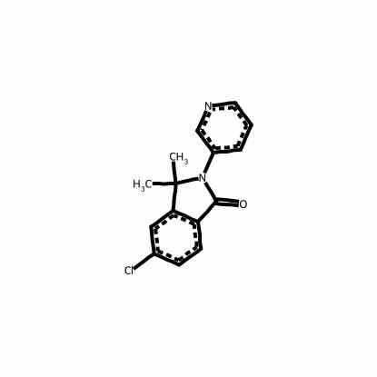 CC1(C)c2cc(Cl)ccc2C(=O)N1c1cccnc1